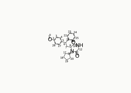 COc1ccc(C(CC2C(=O)NCC(=O)N2C2CCCC2)c2ccccc2)cc1